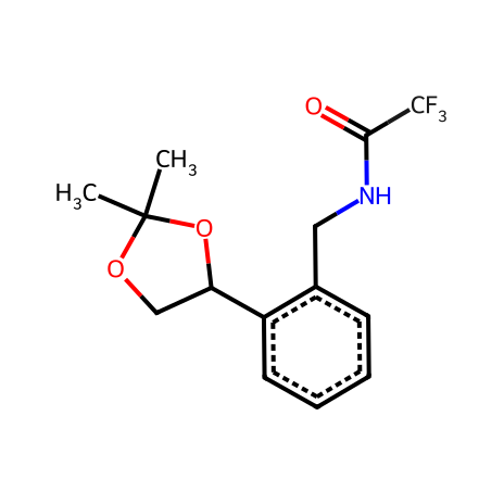 CC1(C)OCC(c2ccccc2CNC(=O)C(F)(F)F)O1